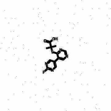 CC(C)(Sc1ncncc1-c1cnc(F)nc1)C(=O)O